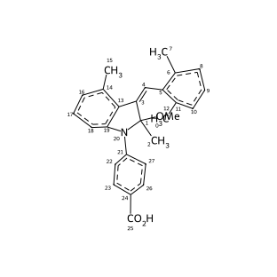 COC1(C)/C(=C\c2c(C)cccc2C)c2c(C)cccc2N1c1ccc(C(=O)O)cc1